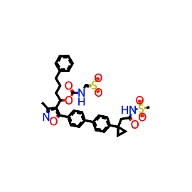 Cc1noc(-c2ccc(-c3ccc(C4(CC(=O)NS(C)(=O)=O)CC4)cc3)cc2)c1C(CCCc1ccccc1)OC(=O)NC=S(=O)=O